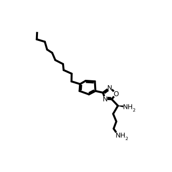 CCCCCCCCCCc1ccc(-c2noc([C@@H](N)CCCN)n2)cc1